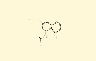 CCC(=O)Nc1cc(S(=O)(=O)O)cc2c(S(=O)(=O)O)ccc(O)c12